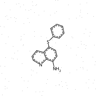 Nc1ccc(Sc2ccccc2)c2cccnc12